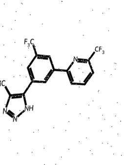 N#Cc1nn[nH]c1-c1cc(-c2cccc(C(F)(F)F)n2)cc(C(F)(F)F)c1